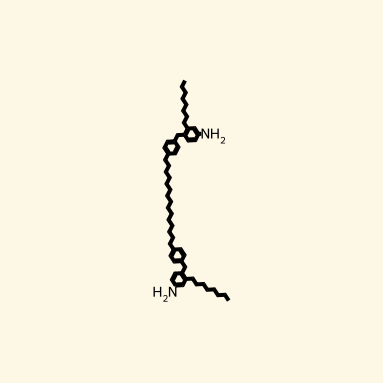 CCCCCCCCc1cc(N)ccc1Cc1ccc(CCCCCCCCCCCCCCCc2ccc(Cc3ccc(N)cc3CCCCCCCC)cc2)cc1